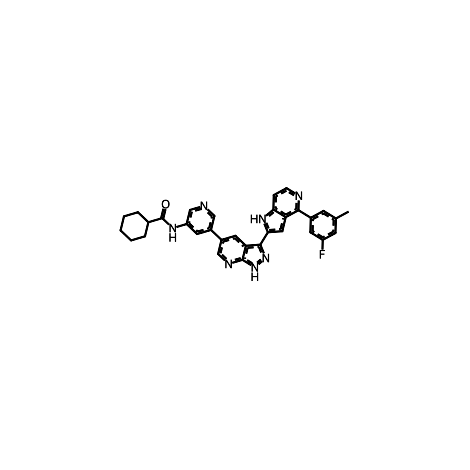 Cc1cc(F)cc(-c2nccc3[nH]c(-c4n[nH]c5ncc(-c6cncc(NC(=O)C7CCCCC7)c6)cc45)cc23)c1